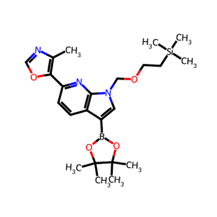 Cc1ncoc1-c1ccc2c(B3OC(C)(C)C(C)(C)O3)cn(COCC[Si](C)(C)C)c2n1